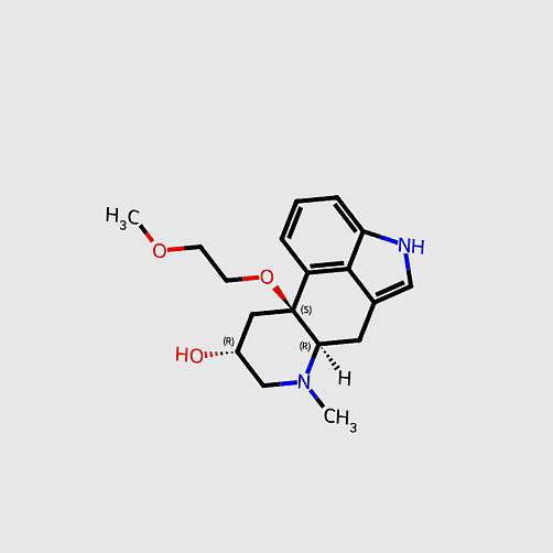 COCCO[C@]12C[C@@H](O)CN(C)[C@@H]1Cc1c[nH]c3cccc2c13